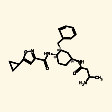 CC(N)CC(=O)N[C@H]1CC[C@H](NC(=O)c2cc(C3CC3)on2)[C@H](Cc2ccccc2)C1